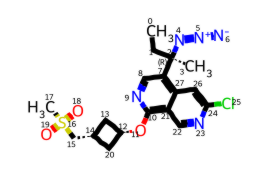 CC[C@@](C)(N=[N+]=[N-])c1cnc(O[C@H]2C[C@@H](CS(C)(=O)=O)C2)c2cnc(Cl)cc12